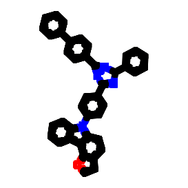 c1ccc(-c2ccc(C3N4C(c5ccc(-n6c7ccccc7c7c8occc8ccc76)cc5)=NC(c5ccccc5)N34)cc2)cc1